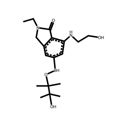 CCN1Cc2cc(BOC(C)(C)C(C)(C)O)cc(NCCO)c2C1=O